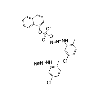 Cc1ccc(Cl)cc1N[N+]#N.Cc1ccc(Cl)cc1N[N+]#N.O=P([O-])([O-])Oc1cccc2ccccc12